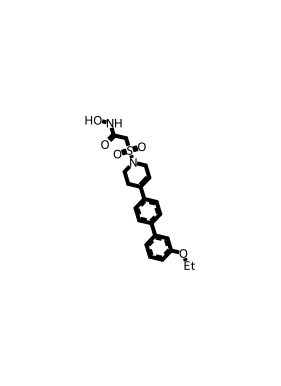 CCOc1cccc(-c2ccc(C3=CCN(S(=O)(=O)CC(=O)NO)CC3)cc2)c1